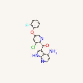 Nc1ccnc2[nH]cc(C(=O)c3ncc(Oc4ccccc4F)cc3Cl)c12